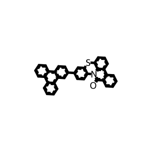 O=c1c2ccccc2c2cccc3c2n1-c1ccc(-c2ccc4c5ccccc5c5ccccc5c4c2)cc1S3